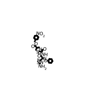 Nc1nc(C(=NOc2ccccc2)C(=O)NC2C(=O)N3C=C(C(=O)OCc4ccc([N+](=O)[O-])cc4)CS[C@H]23)ns1